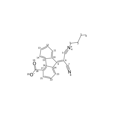 CCCC[N+]#CC(C#N)=C1c2ccccc2-c2c(C(=O)[O-])cccc21